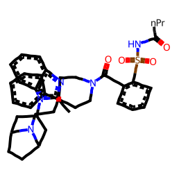 CCCC(=O)NS(=O)(=O)c1ccccc1C(=O)N1CCC(CCN2C3CCC2CC(n2c(C)nc4ccccc42)C3)(c2ccccc2)CC1